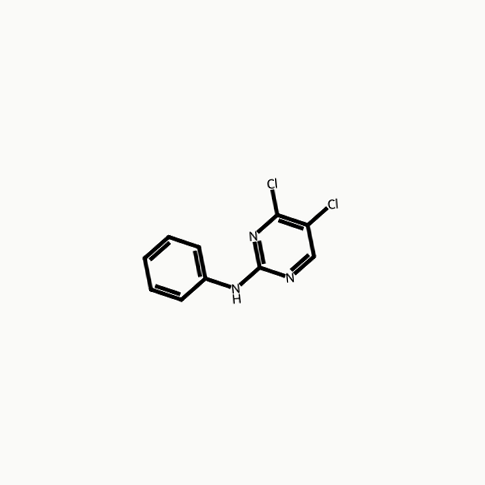 Clc1cnc(Nc2ccccc2)nc1Cl